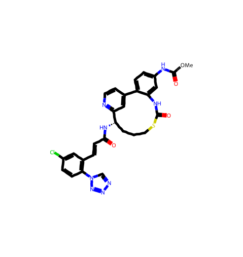 COC(=O)Nc1ccc2c(c1)NC(=O)SCCC[C@H](NC(=O)/C=C/c1cc(Cl)ccc1-n1cnnn1)c1cc-2ccn1